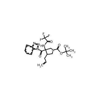 C=CCC1CN(C(=O)OC(C)(C)C)CC1(NC(=O)C(F)(F)F)C(=O)n1nnc2ccccc21